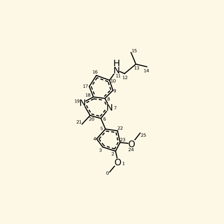 COc1ccc(-c2nc3cc(NCC(C)C)ccc3nc2C)cc1OC